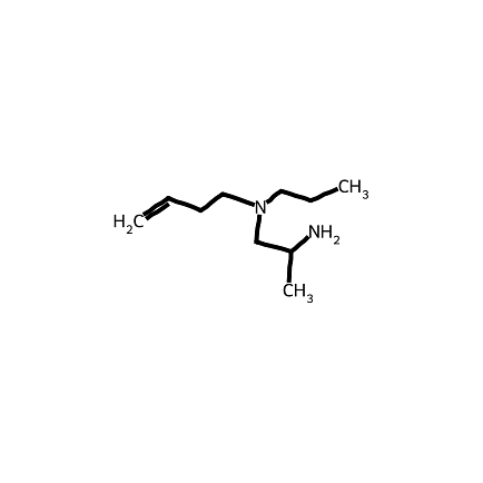 C=CCCN(CCC)CC(C)N